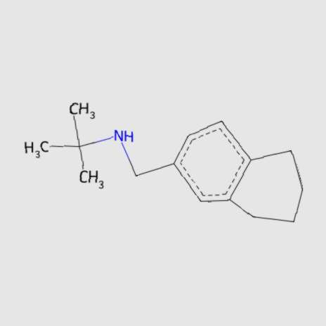 CC(C)(C)NCc1ccc2c(c1)CCCC2